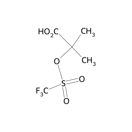 CC(C)(OS(=O)(=O)C(F)(F)F)C(=O)O